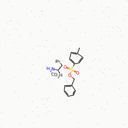 CC(C)C[C@H](N)C(=O)O.Cc1ccc(S(=O)(=O)OCc2ccccc2)cc1